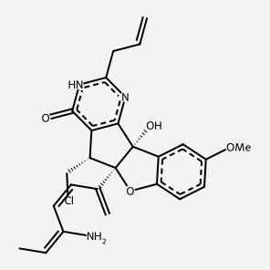 C=CCc1nc2c(c(=O)[nH]1)[C@@H](CCl)[C@]1(C(=C)/C=C\C(N)=C/C)Oc3ccc(OC)cc3[C@]21O